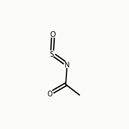 CC(=O)N=S=O